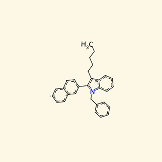 CCCCCc1c(-c2ccc3c[c]ccc3c2)n(Cc2ccccc2)c2ccccc12